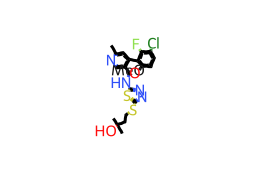 COc1ccc(Cl)c(F)c1-c1cc(C)ncc1C(=O)Nc1nnc(SCCC(C)(C)O)s1